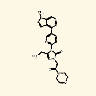 CCc1cn(CC(=O)N2CCOCC2)c(=O)n1-c1ccc(-c2cncc3c2cnn3C)cn1